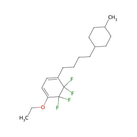 CCOC1=CC=C(CCCCC2CCC(C)CC2)C(F)(F)C1(F)F